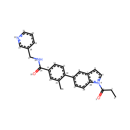 CCC(=O)n1ccc2cc(-c3ccc(C(=O)NCc4cccnc4)cc3C)ccc21